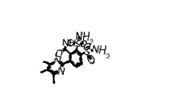 Cc1nc(-c2ccc(S(N)(=O)=O)c(S(N)(=O)=O)c2C(N)=O)nc(C)c1C